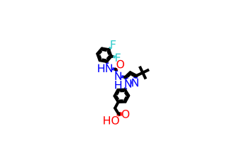 CC(C)(C)c1cc(NC(=O)Nc2cccc(F)c2F)n(-c2ccc(CC(=O)O)cc2)n1